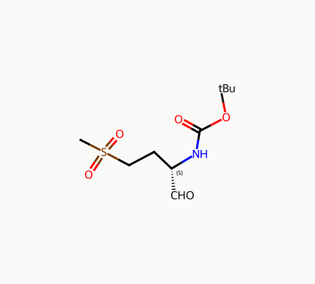 CC(C)(C)OC(=O)N[C@H](C=O)CCS(C)(=O)=O